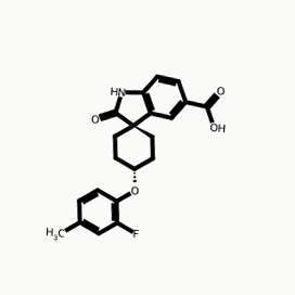 Cc1ccc(O[C@H]2CC[C@@]3(CC2)C(=O)Nc2ccc(C(=O)O)cc23)c(F)c1